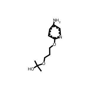 CC(C)(O)OCCCOc1ccc(N)cn1